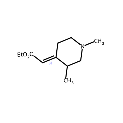 CCOC(=O)/C=C1\CCN(C)CC1C